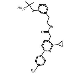 CC(C)(Oc1cccc(CCNC(=O)Cc2cnc(-c3ccc(C(F)(F)F)cc3)nc2C2CC2)c1)C(=O)O